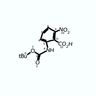 CC(C)(C)OC(=O)Nc1cccc([N+](=O)[O-])c1C(=O)O